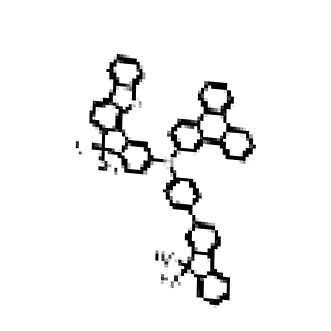 CC1(C)c2ccccc2-c2ccc(-c3ccc(N(c4ccc5c(c4)-c4c(ccc6c4oc4ccccc46)C5(C)C)c4ccc5c6ccccc6c6ccccc6c5c4)cc3)cc21